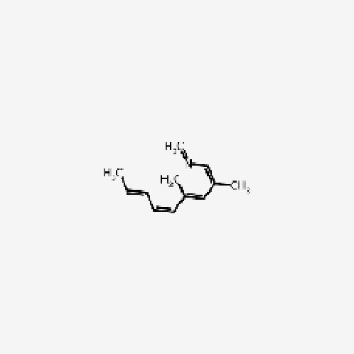 C=N\C=C(C)/C=C(C)/C=C\C=CC